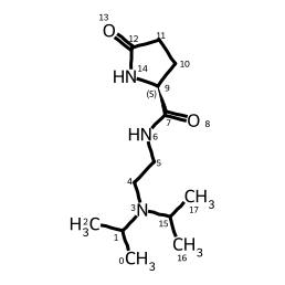 CC(C)N(CCNC(=O)[C@@H]1CCC(=O)N1)C(C)C